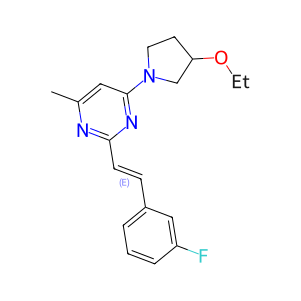 CCOC1CCN(c2cc(C)nc(/C=C/c3cccc(F)c3)n2)C1